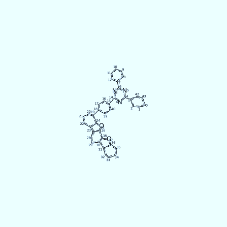 c1ccc(-c2nc(-c3ccccc3)nc(-c3ccc(-c4cccc5c4oc4c5ccc5c6ccccc6oc54)cc3)n2)cc1